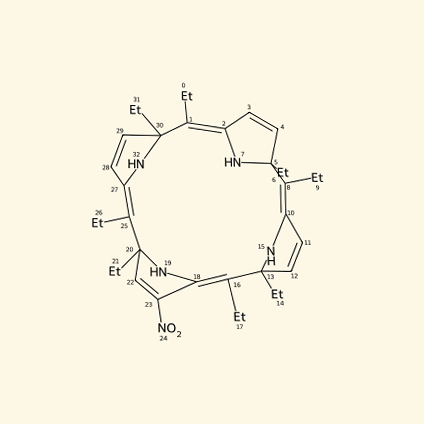 CC/C1=C2\C=CC(CC)(N2)/C(CC)=C2/C=CC(CC)(N2)/C(CC)=C2\NC(CC)(C=C2[N+](=O)[O-])/C(CC)=C2/C=CC1(CC)N2